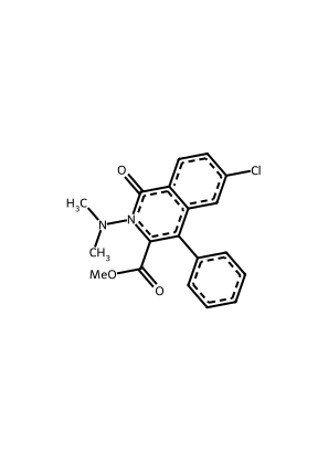 COC(=O)c1c(-c2ccccc2)c2cc(Cl)ccc2c(=O)n1N(C)C